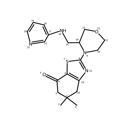 CC1(C)CC(=O)c2sc(N3CCOCC3CNc3cccnc3)nc2C1